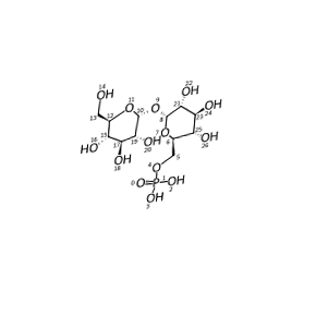 O=P(O)(O)OC[C@H]1O[C@H](O[C@H]2O[C@H](CO)[C@@H](O)[C@H](O)[C@H]2O)[C@H](O)[C@@H](O)[C@@H]1O